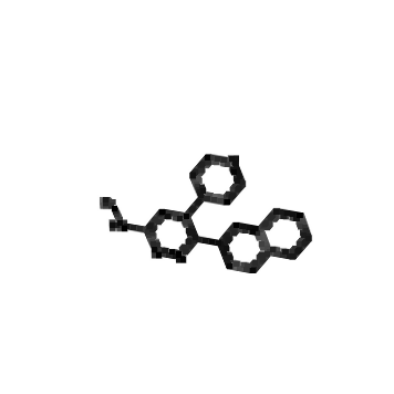 CC(C)Nc1cc(-c2ccncc2)c(-c2ccc3ccccc3c2)nn1